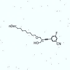 CCCCCCCCCCCCCCCCCCOC[C@@H](C#Cc1cc(F)cc(C#N)c1)CO